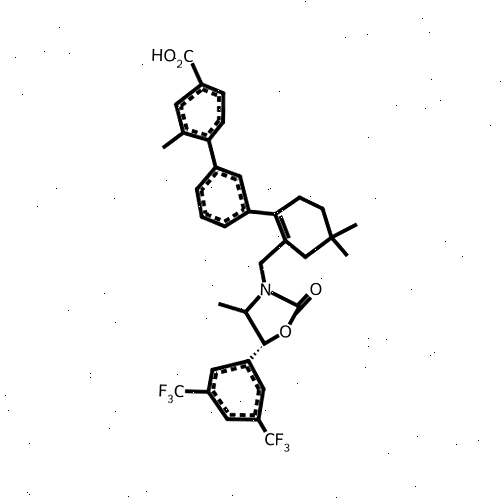 Cc1cc(C(=O)O)ccc1-c1cccc(C2=C(CN3C(=O)O[C@H](c4cc(C(F)(F)F)cc(C(F)(F)F)c4)C3C)CC(C)(C)CC2)c1